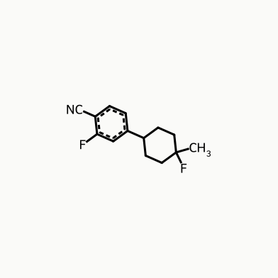 CC1(F)CCC(c2ccc(C#N)c(F)c2)CC1